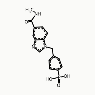 CNC(=O)c1ccc2c(c1)ncn2Cc1ccc(P(=O)(O)O)cc1